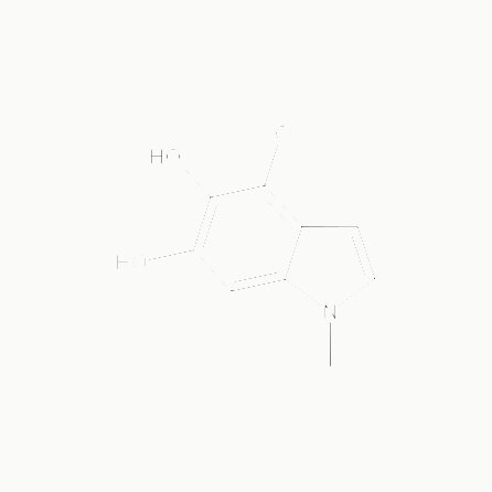 Cn1ccc2c(Cl)c(O)c(O)cc21